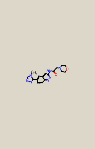 Cn1cnnc1-c1ccc2nnc(NC(=O)CN3CCOCC3)cc2c1